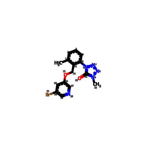 Cc1cccc(-n2nnn(C)c2=O)c1COc1cncc(Br)c1